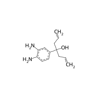 C=CCC(O)(CC=C)c1ccc(N)c(N)c1